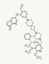 COc1cc(CN2CCN(C3CC4(CCN(c5ccc(C=O)c(Oc6cnc7[nH]ccc7c6)c5)CC4)C3)C(c3ccccc3C(C)C)C2)cnc1OC